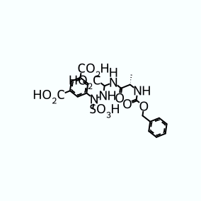 C[C@H](NC(=O)OCc1ccccc1)C(=O)NC(NN(c1cc(C(=O)O)cc(C(=O)O)c1)S(=O)(=O)O)C(=O)O